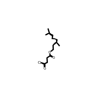 CC(C)=CCCC(C)CCOC(=O)CCC(=O)Cl